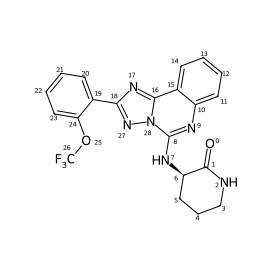 O=C1NCCC[C@H]1Nc1nc2ccccc2c2nc(-c3ccccc3OC(F)(F)F)nn12